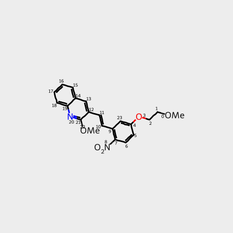 COCCOc1ccc([N+](=O)[O-])c(/C=C/c2cc3ccccc3nc2OC)c1